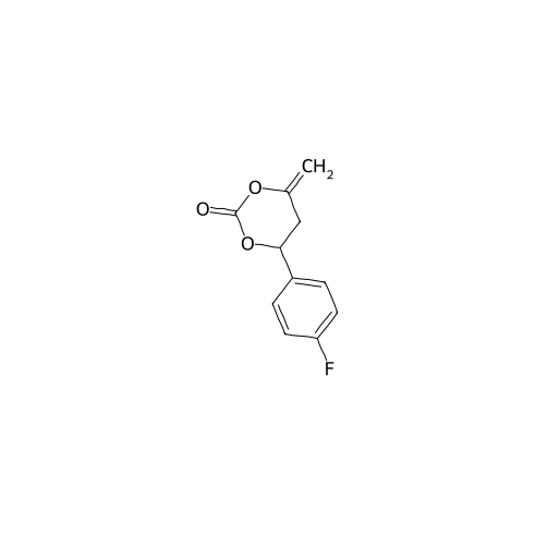 C=C1CC(c2ccc(F)cc2)OC(=O)O1